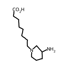 NC1CCCN(CCCCCCCC(=O)O)C1